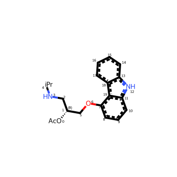 CC(=O)O[C@H](CNC(C)C)COc1cccc2[nH]c3ccccc3c12